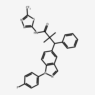 CC(C)(C(=O)Nc1nnc(C(F)(F)F)s1)C(c1ccccc1)c1ccc2c(cnn2-c2ccc(F)cc2)c1